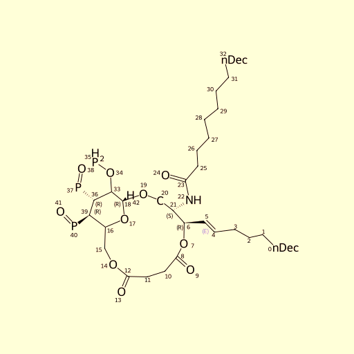 CCCCCCCCCCCCC/C=C/[C@H]1OC(=O)CCC(=O)OCC2O[C@@H](OC[C@@H]1NC(=O)CCCCCCCCCCCCCCCCC)C(OP)[C@@H](P=O)[C@@H]2P=O